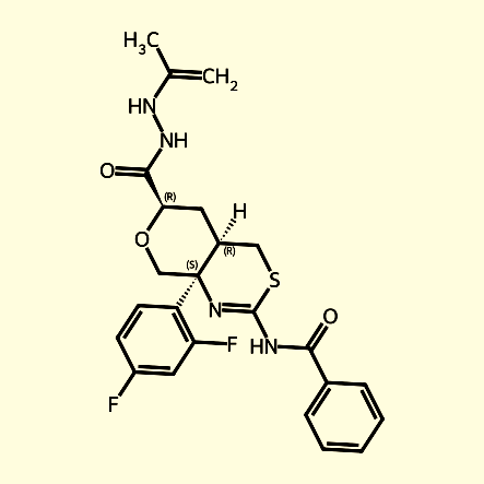 C=C(C)NNC(=O)[C@H]1C[C@H]2CSC(NC(=O)c3ccccc3)=N[C@@]2(c2ccc(F)cc2F)CO1